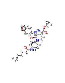 CCCCCC(=O)Nc1ccc(N2CCc3c(C(=O)OCC)nn(-c4ccc(OC)cc4)c3C2=O)cc1